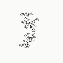 CO[C@]12C3[C@H](CN1C1=C(C(=O)C(N)=C(C)C1=O)[C@H]2COC(N)=O)N3C(=O)OCc1ccc(NC(=O)[C@H](CC(N)=O)NC(=O)[C@H](C)NC(=O)[C@H](C)NC(=O)CN(C)CC(=O)O)cc1